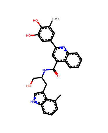 COc1cc(-c2cc(C(=O)NC(CO)Cc3c[nH]c4cccc(C)c34)c3ccccc3n2)cc(O)c1O